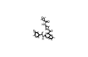 CC(Nc1nc(C(=O)N2CC(NC(=O)C3COC3)C2)c2sccc2n1)c1cncc(F)c1